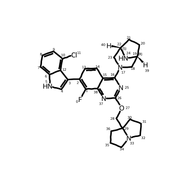 Fc1c(-c2c[nH]c3cccc(Cl)c23)ccc2c(N3C[C@H]4CC[C@@H](C3)N4)nc(OCC34CCCN3CCC4)nc12